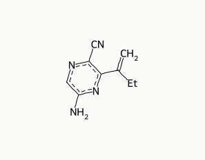 C=C(CC)c1nc(N)cnc1C#N